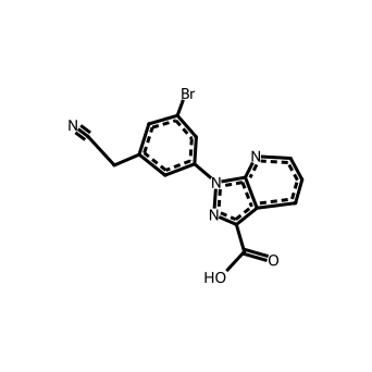 N#CCc1cc(Br)cc(-n2nc(C(=O)O)c3cccnc32)c1